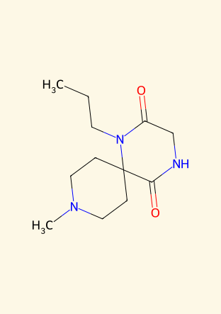 CCCN1C(=O)CNC(=O)C12CCN(C)CC2